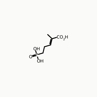 CC(=CCCP(=O)(O)O)C(=O)O